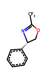 FC(F)(F)C1=N[C@@H](c2ccccc2)CO1